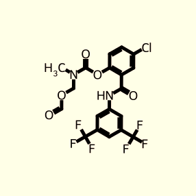 CN(COC=O)C(=O)Oc1ccc(Cl)cc1C(=O)Nc1cc(C(F)(F)F)cc(C(F)(F)F)c1